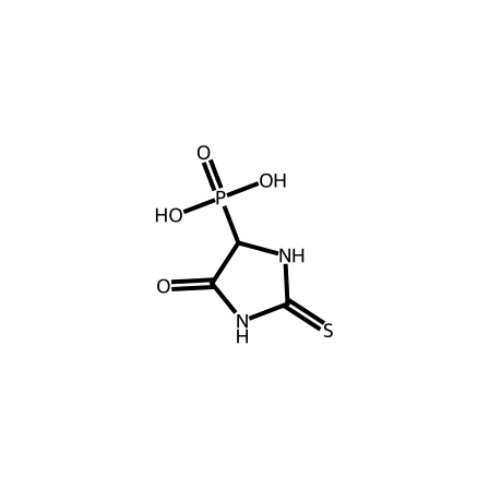 O=C1NC(=S)NC1P(=O)(O)O